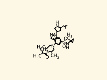 CC(C)C(=O)N1[C@H](C)CN(c2cc(S(=O)(=O)NC3(C)CC3)cc3c2cnn3[C@@H]2CN[C@@H](CF)C2)C[C@@H]1C